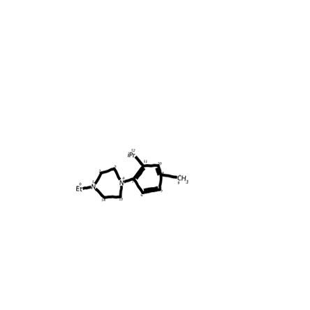 CCN1CCN(c2ccc(C)cc2C(C)C)CC1